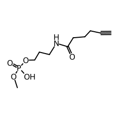 C#CCCCC(=O)NCCCOP(=O)(O)OC